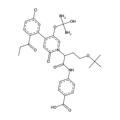 BC(B)(O)Oc1cn(C(CCOC(C)(C)C)C(=O)Nc2ccc(C(=O)O)cc2)c(=O)cc1-c1cc(Cl)ccc1C(=O)CC